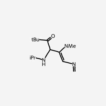 C=N/C=C(\NC)C(NC(C)C)C(=O)C(C)(C)C